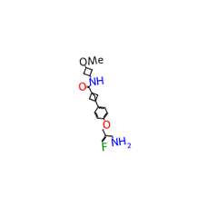 COC1CC(NC(=O)C23CC(c4ccc(OC/C(=C/F)CN)cc4)(C2)C3)C1